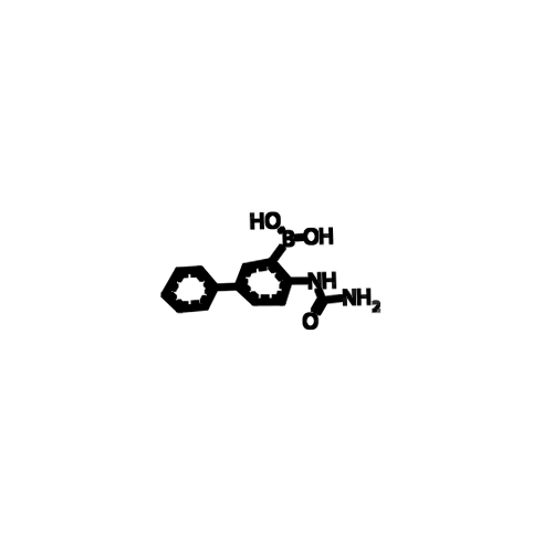 NC(=O)Nc1ccc(-c2ccccc2)cc1B(O)O